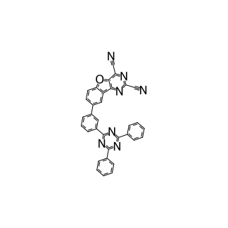 N#Cc1nc(C#N)c2oc3ccc(-c4cccc(-c5nc(-c6ccccc6)nc(-c6ccccc6)n5)c4)cc3c2n1